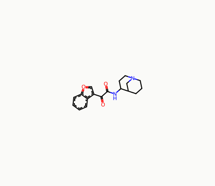 O=C(NC1CCN2CCCC1C2)C(=O)c1coc2ccccc12